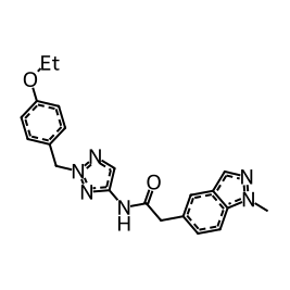 CCOc1ccc(Cn2ncc(NC(=O)Cc3ccc4c(cnn4C)c3)n2)cc1